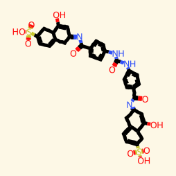 O=C(Nc1ccc(C(=O)N=C2C=C(O)C3CC(S(=O)(=O)O)=CC=C3C2)cc1)Nc1ccc(C(=O)N=C2C=C(O)C3CC(S(=O)(=O)O)=CC=C3C2)cc1